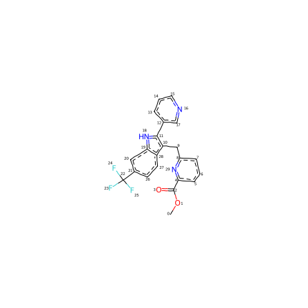 COC(=O)c1cccc(Cc2c(-c3cccnc3)[nH]c3cc(C(F)(F)F)ccc23)n1